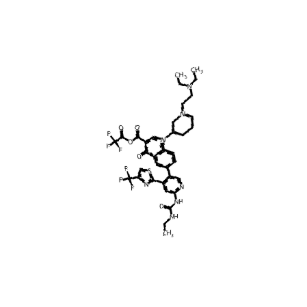 CCNC(=O)Nc1cc(-c2nc(C(F)(F)F)cs2)c(-c2ccc3c(c2)c(=O)c(C(=O)OC(=O)C(F)(F)F)cn3C2CCCN(CCN(CC)CC)C2)cn1